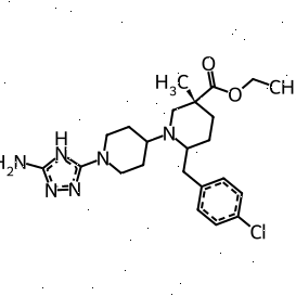 CCOC(=O)[C@]1(C)CCC(Cc2ccc(Cl)cc2)N(C2CCN(c3nnc(N)[nH]3)CC2)C1